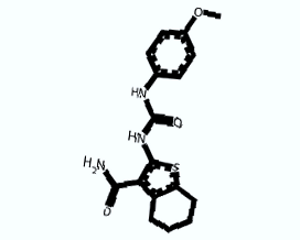 COc1ccc(NC(=O)Nc2sc3c(c2C(N)=O)CCCC3)cc1